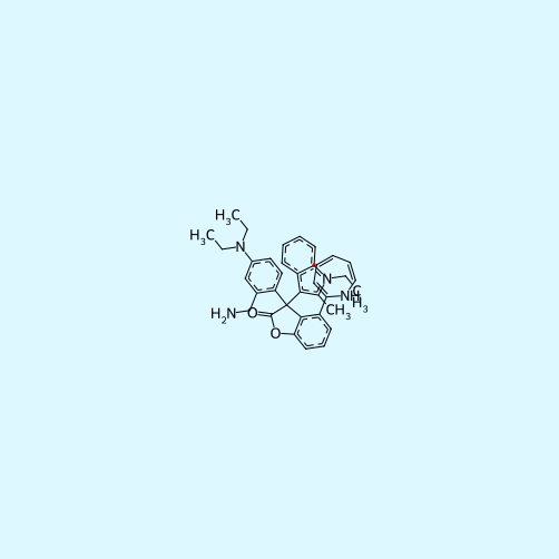 CCN(CC)c1ccc(C2(c3c(C)n(CC)c4ccccc34)C(=O)Oc3cccc(C4=CC=CC=CN4)c32)c(CN)c1